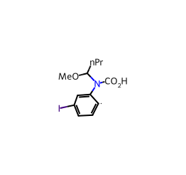 CCCC(OC)N(C(=O)O)c1[c]ccc(I)c1